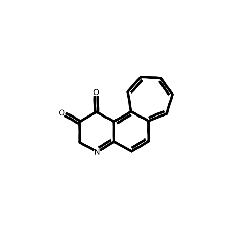 O=C1CN=c2ccc3c(c2C1=O)C=CC=CC=3